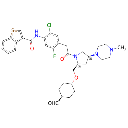 CN1CCN([C@H]2C[C@@H](CO[C@H]3CC[C@H](C=O)CC3)N(C(=O)Cc3cc(Cl)c(NC(=O)c4csc5ccccc45)cc3F)C2)CC1